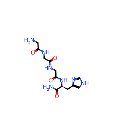 NCC(=O)NCC(=O)NCC(=O)N[C@@H](Cc1c[nH]cn1)C(N)=O